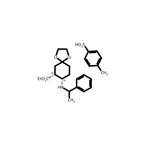 CCOC(=O)[C@@H]1CC2(CC[C@@H]1NC(C)c1ccccc1)OCCO2.Cc1ccc(S(=O)(=O)O)cc1